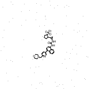 CCS(=O)(=O)N1CCCC1C1CC1NC(=O)Nc1ccc(-c2ccc(CN3CCOCC3)nc2)c2ccccc12